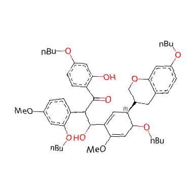 CCCCOc1ccc(C(=O)C(c2ccc(OC)cc2OCCCC)C(O)C2=C[C@@H](C3COc4cc(OCCCC)ccc4C3)C(OCCCC)C=C2OC)c(O)c1